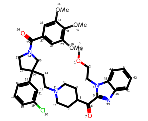 CCOCCn1c(C(=O)C2CCN(CCC3(c4cccc(Cl)c4)CCN(C(=O)c4cc(OC)c(OC)c(OC)c4)C3)CC2)nc2ccccc21